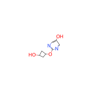 Oc1cnc(OC2CC(O)C2)nc1